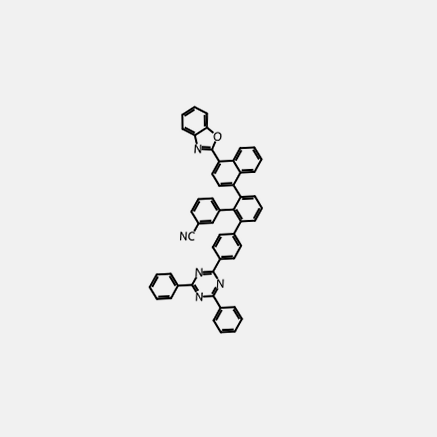 N#Cc1cccc(-c2c(-c3ccc(-c4nc(-c5ccccc5)nc(-c5ccccc5)n4)cc3)cccc2-c2ccc(-c3nc4ccccc4o3)c3ccccc23)c1